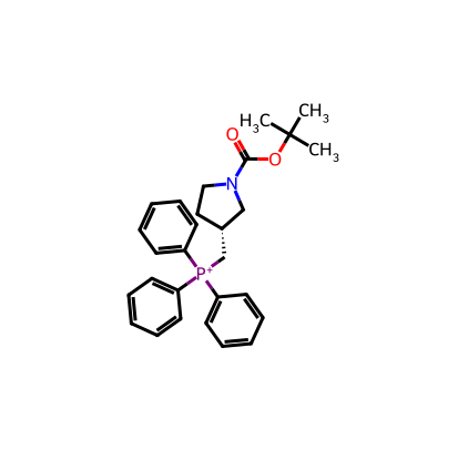 CC(C)(C)OC(=O)N1CC[C@@H](C[P+](c2ccccc2)(c2ccccc2)c2ccccc2)C1